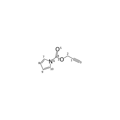 C#CCOC(=O)n1cccc1